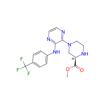 COC(=O)[C@H]1CN(c2nccnc2Nc2ccc(C(F)(F)F)cc2)CCN1